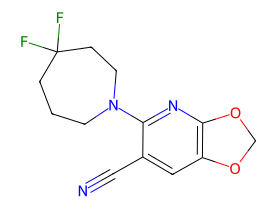 N#Cc1cc2c(nc1N1CCCC(F)(F)CC1)OCO2